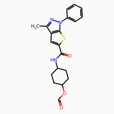 Cc1nn(-c2ccccc2)c2sc(C(=O)NC3CCC(OC=O)CC3)cc12